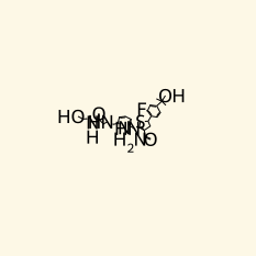 CC(C)(O)c1ccc(C2CC(C(N)=O)=C(Nc3cccc(CNCC(=O)NCCO)n3)S2)c(F)c1